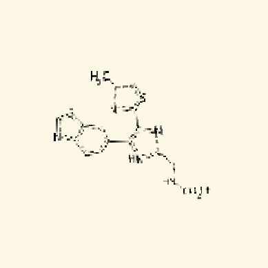 CCOC(=O)NCc1nc(-c2nc(C)cs2)c(-c2ccc3ncsc3c2)[nH]1